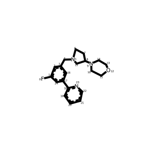 Fc1cc(CN2CCC(N3CCOCC3)C2)cc(-c2ccccn2)c1